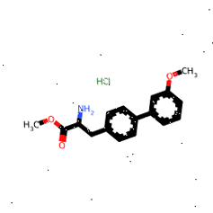 COC(=O)C(N)Cc1ccc(-c2cccc(OC)c2)cc1.Cl